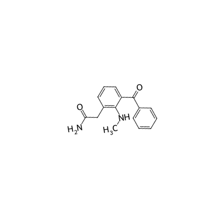 CNc1c(CC(N)=O)cccc1C(=O)c1ccccc1